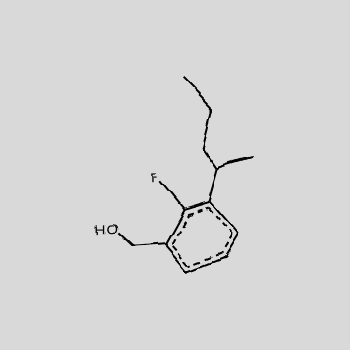 CCCC(C)c1cccc(CO)c1F